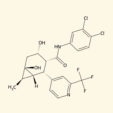 C[C@@H]1[C@H]2[C@@H](c3ccnc(C(F)(F)F)c3)[C@@H](C(=O)Nc3ccc(Cl)c(Cl)c3)[C@@H](O)C[C@]21O